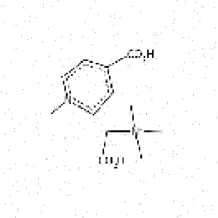 C[N+](C)(C)CC(=O)O.C[n+]1ccc(C(=O)O)cc1